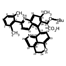 Cc1cccc(C)c1-c1ccc2c(-c3ccc4c5c(ccnc35)CCO4)c([C@H](OC(C)(C)C)C(=O)O)c(C)cc2n1